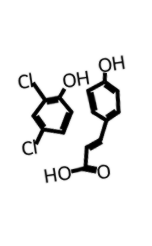 O=C(O)/C=C/c1ccc(O)cc1.Oc1ccc(Cl)cc1Cl